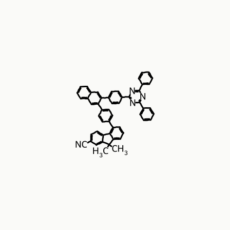 CC1(C)c2cc(C#N)ccc2-c2c(-c3ccc(-c4cc5ccccc5cc4-c4ccc(-c5nc(-c6ccccc6)nc(-c6ccccc6)n5)cc4)cc3)cccc21